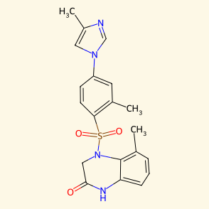 Cc1cn(-c2ccc(S(=O)(=O)N3CC(=O)Nc4cccc(C)c43)c(C)c2)cn1